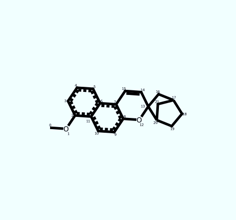 COc1cccc2c3c(ccc12)OC1(C=C3)CC2CCC1C2